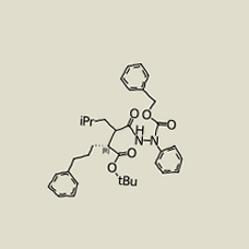 CC(C)CC(C(=O)NN(C(=O)OCc1ccccc1)c1ccccc1)[C@@H](CCCc1ccccc1)C(=O)OC(C)(C)C